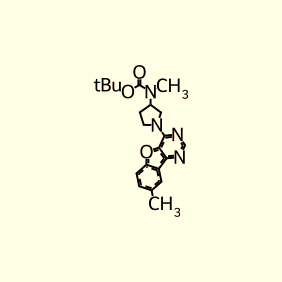 Cc1ccc2oc3c(N4CCC(N(C)C(=O)OC(C)(C)C)C4)ncnc3c2c1